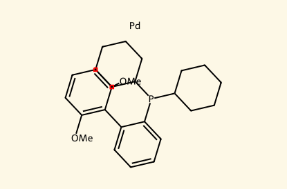 COc1cccc(OC)c1-c1ccccc1P(C1CCCCC1)C1CCCCC1.[Pd]